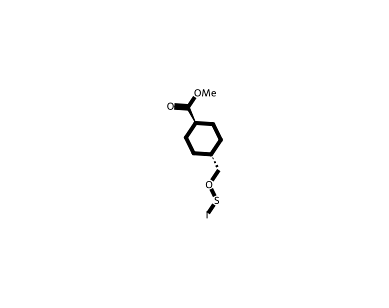 COC(=O)[C@H]1CC[C@H](COSI)CC1